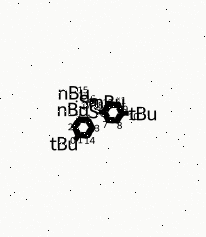 CC(C)(C)c1ccc(Sc2ccc(C(C)(C)C)cc2)cc1.CCC[CH2][Sn]([CH2]CCC)[CH2]CCC